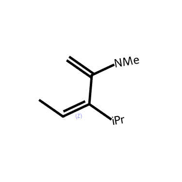 C=C(NC)/C(=C\C)C(C)C